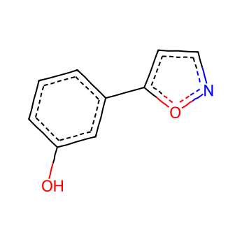 Oc1cccc(-c2ccno2)c1